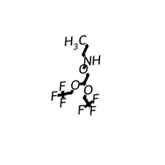 CCCNOCC(OCC(F)(F)F)OCC(F)(F)F